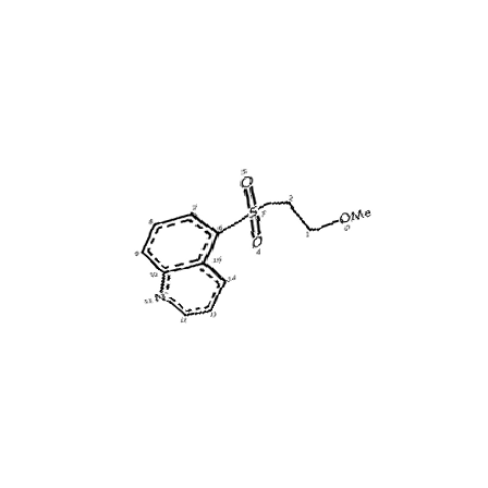 COCCS(=O)(=O)c1cccc2ncccc12